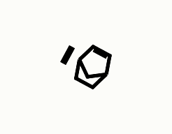 C1=CC2CCC1C2.C=C